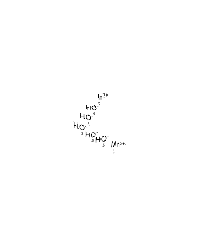 [Ir+3].[Mn+2].[OH-].[OH-].[OH-].[OH-].[OH-]